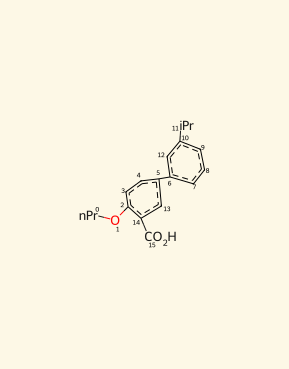 CCCOc1ccc(-c2cccc(C(C)C)c2)cc1C(=O)O